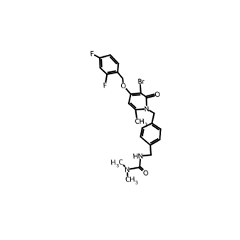 Cc1cc(OCc2ccc(F)cc2F)c(Br)c(=O)n1Cc1ccc(CNC(=O)N(C)C)cc1